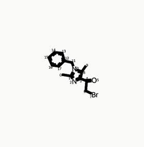 Cc1nc(C(=O)CBr)c(C)n1Cc1ccccc1